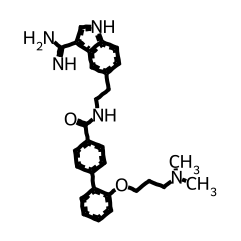 CN(C)CCCOc1ccccc1-c1ccc(C(=O)NCCc2ccc3[nH]cc(C(=N)N)c3c2)cc1